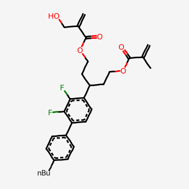 C=C(C)C(=O)OCCC(CCOC(=O)C(=C)CO)c1ccc(-c2ccc(CCCC)cc2)c(F)c1F